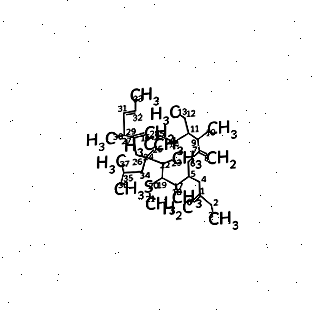 C=C(CC)CC(CC(=C)C(C)C(CC)CCC)C(C)C(SC)C(C)C(C)(CC(=C)C(C)/C=C/C)CC(C)C